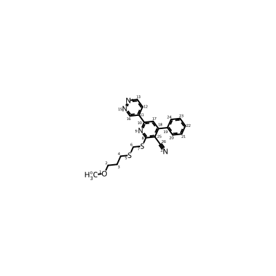 COCCCSCSc1nc(-c2ccnnc2)cc(-c2ccccc2)c1C#N